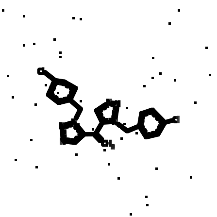 C=C(c1cnnn1Cc1ccc(Cl)cc1)c1cnnn1Cc1ccc(Cl)cc1